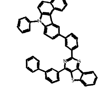 c1ccc(-c2cccc(-c3nc(-c4cccc(-c5ccc6c(c5)c5c7ccccc7ccc5n6-c5ccccc5)c4)nc4c3sc3ccccc34)c2)cc1